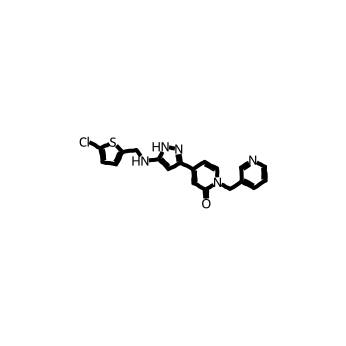 O=c1cc(-c2cc(NCc3ccc(Cl)s3)[nH]n2)ccn1Cc1cccnc1